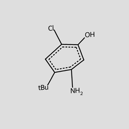 CC(C)(C)c1cc(Cl)c(O)cc1N